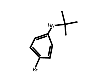 CC(C)(C)Nc1ccc(Br)cc1